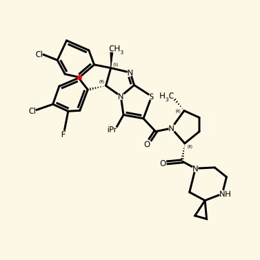 CC(C)C1=C(C(=O)N2[C@H](C)CC[C@@H]2C(=O)N2CCNC3(CC3)C2)SC2=N[C@@](C)(c3ccc(Cl)cc3)[C@@H](c3ccc(Cl)c(F)c3)N21